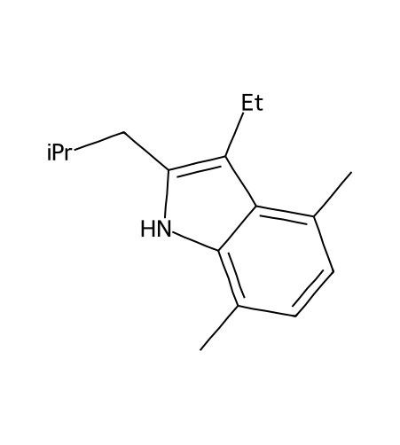 CCc1c(CC(C)C)[nH]c2c(C)ccc(C)c12